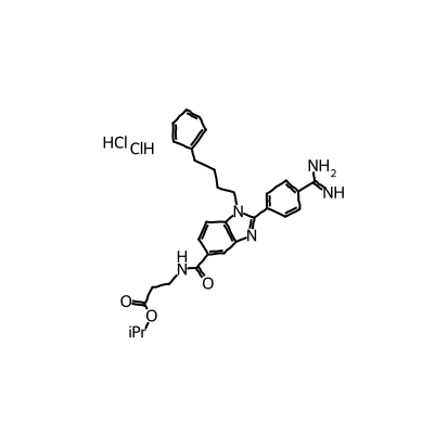 CC(C)OC(=O)CCNC(=O)c1ccc2c(c1)nc(-c1ccc(C(=N)N)cc1)n2CCCCc1ccccc1.Cl.Cl